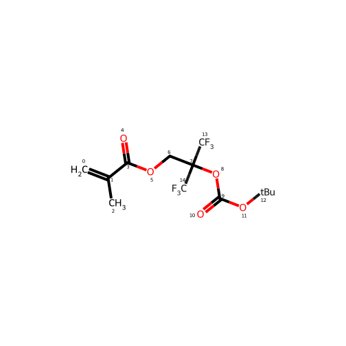 C=C(C)C(=O)OCC(OC(=O)OC(C)(C)C)(C(F)(F)F)C(F)(F)F